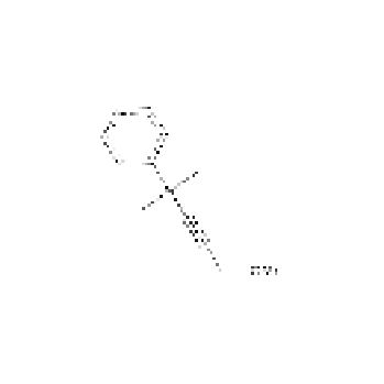 COCC#C[Si](C)(C)c1ccccc1